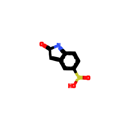 O=C1C=c2cc(S(=O)O)ccc2=N1